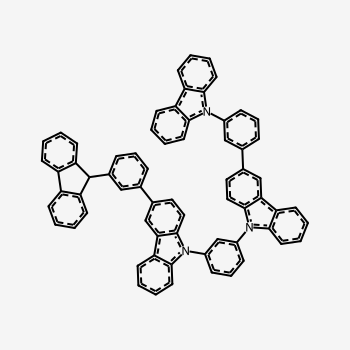 c1cc(-c2ccc3c(c2)c2ccccc2n3-c2cccc(-n3c4ccccc4c4cc(-c5cccc(-n6c7ccccc7c7ccccc76)c5)ccc43)c2)cc(C2c3ccccc3-c3ccccc32)c1